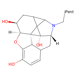 CCCC(C)CN1C2C3C[C@H](O)[C@@H]4OC5=C(O)C=CC6C[C@@H]1[C@]1(O)C32[C@]41C56